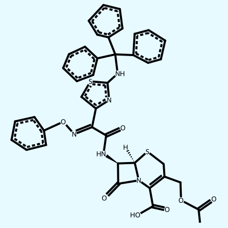 CC(=O)OCC1=C(C(=O)O)N2C(=O)[C@@H](NC(=O)C(=NOc3ccccc3)c3csc(NC(c4ccccc4)(c4ccccc4)c4ccccc4)n3)[C@H]2SC1